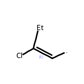 [CH2]/C=C(/Cl)CC